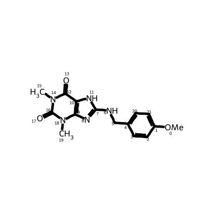 COc1ccc(CNc2nc3c([nH]2)c(=O)n(C)c(=O)n3C)cc1